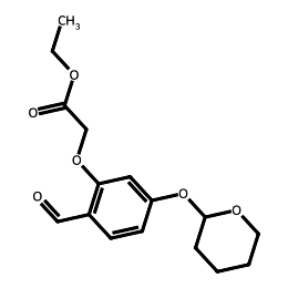 CCOC(=O)COc1cc(OC2CCCCO2)ccc1C=O